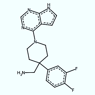 NCC1(c2ccc(F)c(F)c2)CCN(c2ncnc3[nH]ccc23)CC1